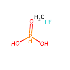 C.F.O=[PH](O)O